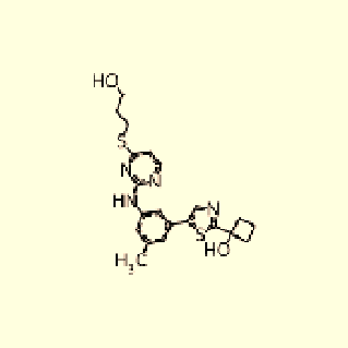 Cc1cc(Nc2nccc(SCCCO)n2)cc(-c2cnc(C3(O)CCC3)s2)c1